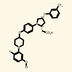 CCOc1ccc(F)c(N2CCC(Oc3ccc(N4C[C@H](Oc5cccc(C(F)(F)F)c5)C[C@@H]4CC(=O)O)cc3)CC2)c1